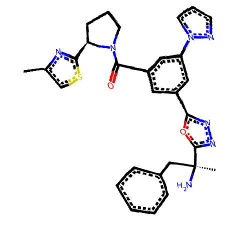 Cc1csc([C@H]2CCCN2C(=O)c2cc(-c3nnc([C@@](C)(N)Cc4ccccc4)o3)cc(-n3cccn3)c2)n1